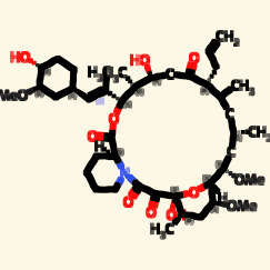 C=CC[C@H]1C(=O)C[C@H](O)[C@@H](C)[C@@H](/C(C)=C/[C@@H]2CC[C@@H](O)[C@H](OC)C2)OC(=O)[C@@H]2CCCCN2C(=O)C(=O)[C@]2(O)O[C@H]([C@@H](OC)C[C@@H](C)CC1C)[C@@H](OC)C[C@H]2C